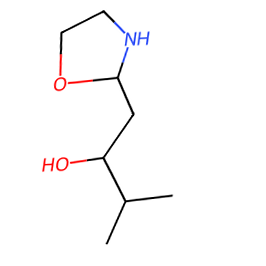 CC(C)C(O)CC1NCCO1